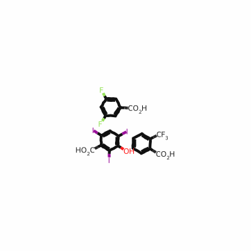 O=C(O)c1c(I)cc(I)c(O)c1I.O=C(O)c1cc(F)cc(F)c1.O=C(O)c1ccccc1C(F)(F)F